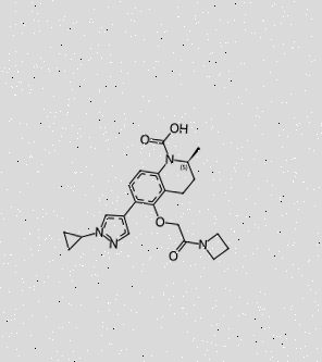 C[C@H]1CCc2c(ccc(-c3cnn(C4CC4)c3)c2OCC(=O)N2CCC2)N1C(=O)O